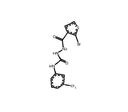 O=C(NNC(=O)c1ccsc1Br)Nc1cccc(C(F)(F)F)c1